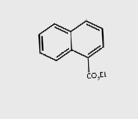 CCOC(=O)c1cc[c]c2ccccc12